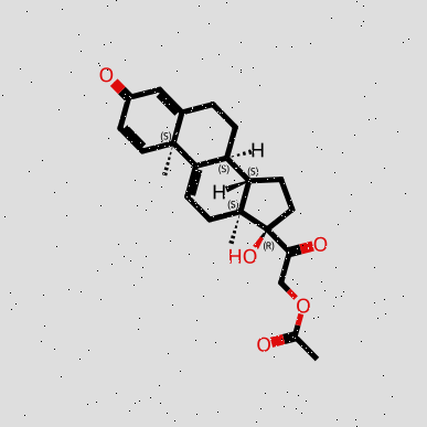 CC(=O)OCC(=O)[C@@]1(O)CC[C@H]2[C@@H]3CCC4=CC(=O)C=C[C@]4(C)C3=CC[C@@]21C